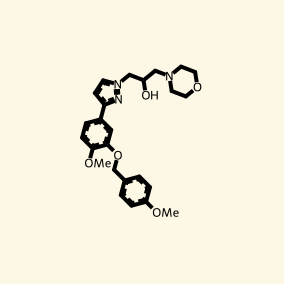 COc1ccc(COc2cc(-c3ccn(CC(O)CN4CCOCC4)n3)ccc2OC)cc1